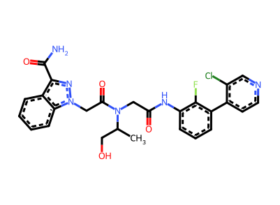 CC(CO)N(CC(=O)Nc1cccc(-c2ccncc2Cl)c1F)C(=O)Cn1nc(C(N)=O)c2ccccc21